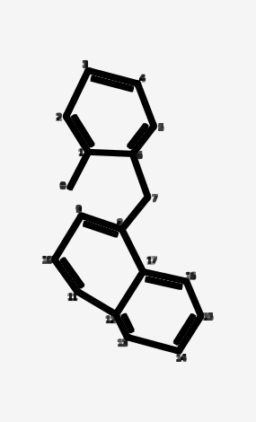 Cc1ccccc1Cc1cccc2ccccc12